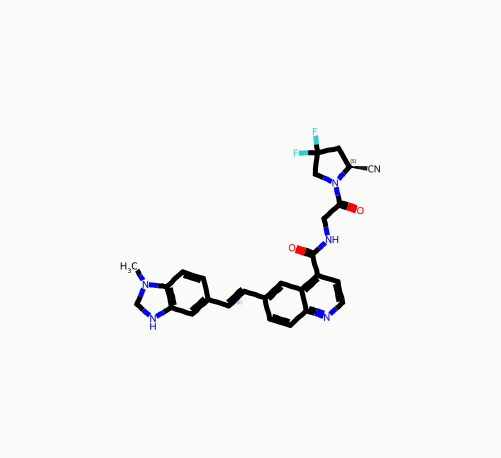 CN1CNc2cc(/C=C/c3ccc4nccc(C(=O)NCC(=O)N5CC(F)(F)C[C@H]5C#N)c4c3)ccc21